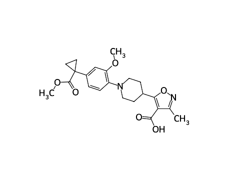 COC(=O)C1(c2ccc(N3CCC(c4onc(C)c4C(=O)O)CC3)c(OC)c2)CC1